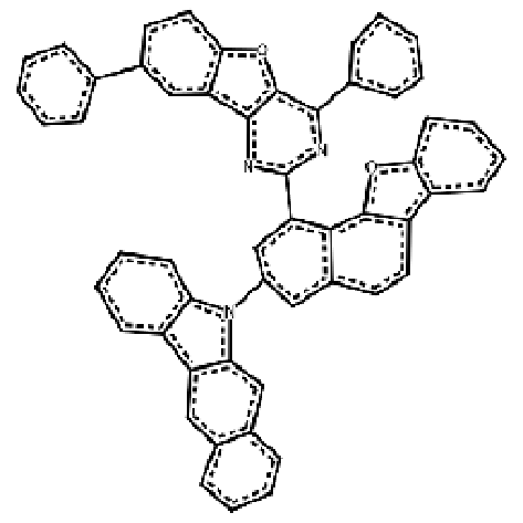 c1ccc(-c2ccc3oc4c(-c5ccccc5)nc(-c5cc(-n6c7ccccc7c7cc8ccccc8cc76)cc6ccc7c8ccccc8oc7c56)nc4c3c2)cc1